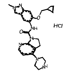 Cl.Cn1cc2cc(NC(=O)N3CCc4c(N5CCNCC5)ccnc43)c(OCC3CC3)cc2n1